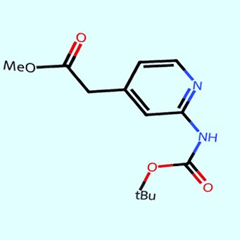 COC(=O)Cc1ccnc(NC(=O)OC(C)(C)C)c1